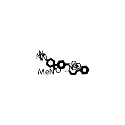 CNC(=O)C1(c2ccc(CN3[C@@H](C)CCC(c4ccccc4)S3(=O)=O)cc2)CCC(n2cnnc2)CC1